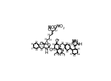 Cc1nc(C)c2c(OC(=O)NC(Cc3ccccc3)C(=O)OCCCCC(CO[N+](=O)[O-])O[N+](=O)[O-])cc(=O)n(Cc3ccc(-c4ccccc4-c4nnn[nH]4)cc3)c2n1